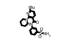 CC(C)(C)c1ccc(C(=O)Nc2cccc(S(N)(=O)=O)c2)c(N2CCCCC2)n1